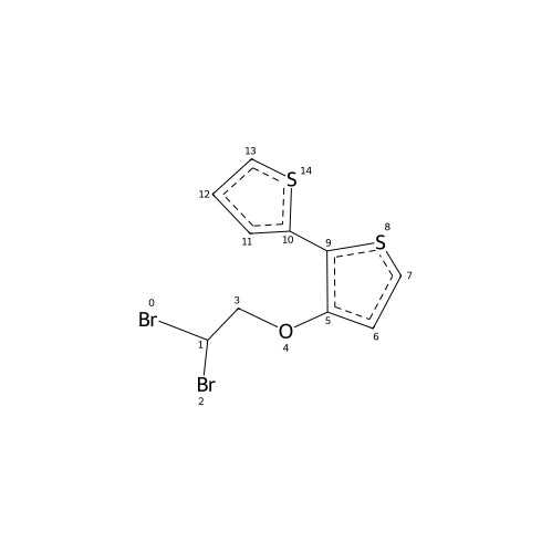 BrC(Br)COc1ccsc1-c1cccs1